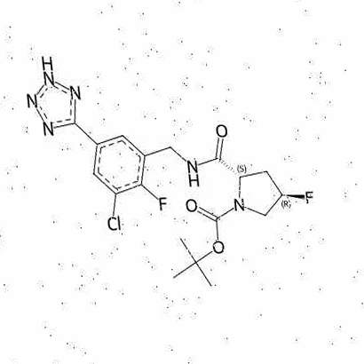 CC(C)(C)OC(=O)N1C[C@H](F)C[C@H]1C(=O)NCc1cc(-c2nn[nH]n2)cc(Cl)c1F